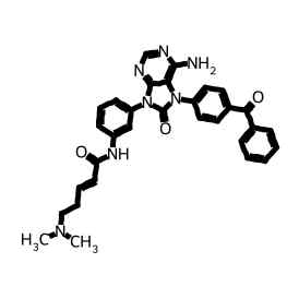 CN(C)CC/C=C/C(=O)Nc1cccc(-n2c(=O)n(-c3ccc(C(=O)c4ccccc4)cc3)c3c(N)ncnc32)c1